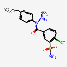 NS(=O)(=O)c1cc(C(=O)N(N[N+](=O)[O-])c2ccc(C(=O)O)cc2)ccc1Cl